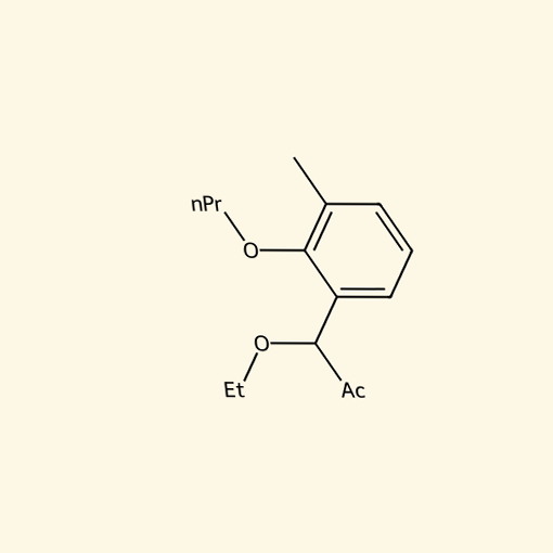 CCCOc1c(C)cccc1C(OCC)C(C)=O